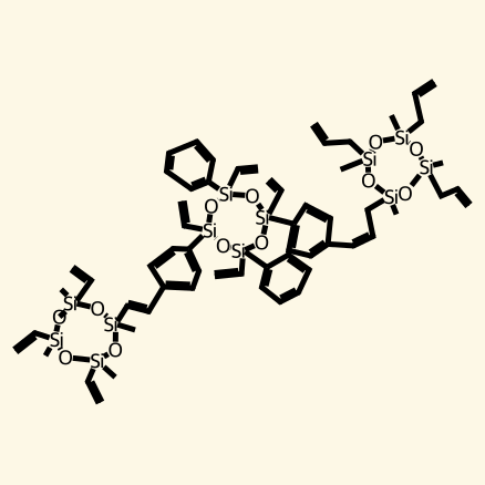 C=CC[Si]1(C)O[Si](C)(CC=C)O[Si](C)(C/C=C\c2ccc([Si]3(C=C)O[Si](C=C)(c4ccccc4)O[Si](C=C)(c4ccc(/C=C/[Si]5(C)O[Si](C)(C=C)O[Si](C)(C=C)O[Si](C)(C=C)O5)cc4)O[Si](C=C)(c4ccccc4)O3)cc2)O[Si](C)(CC=C)O1